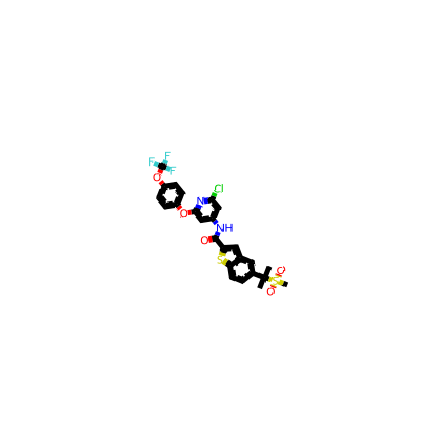 CC(C)(c1ccc2sc(C(=O)Nc3cc(Cl)nc(Oc4ccc(OC(F)(F)F)cc4)c3)cc2c1)S(C)(=O)=O